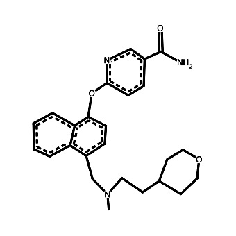 CN(CCC1CCOCC1)Cc1ccc(Oc2ccc(C(N)=O)cn2)c2ccccc12